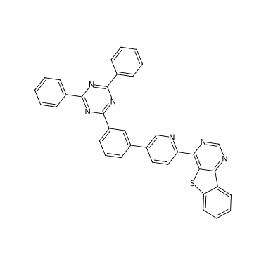 c1ccc(-c2nc(-c3ccccc3)nc(-c3cccc(-c4ccc(-c5ncnc6c5sc5ccccc56)nc4)c3)n2)cc1